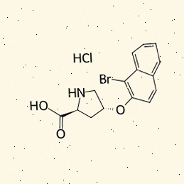 Cl.O=C(O)[C@@H]1C[C@@H](Oc2ccc3ccccc3c2Br)CN1